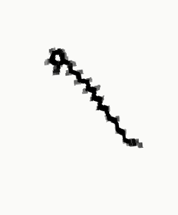 CCCCCCCCCCCCCCCCSC1=NCCN1